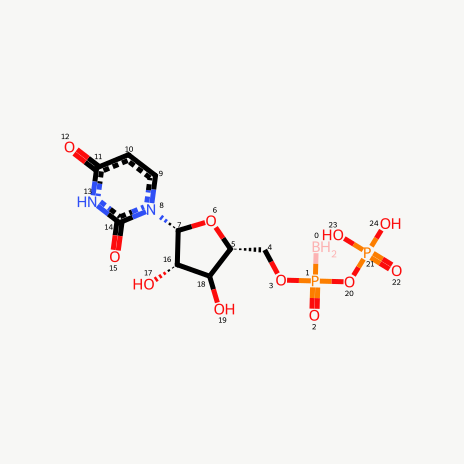 BP(=O)(OC[C@H]1O[C@@H](n2ccc(=O)[nH]c2=O)[C@@H](O)C1O)OP(=O)(O)O